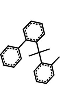 Cc1ccccc1C(C)(C)c1ccccc1-c1ccccc1